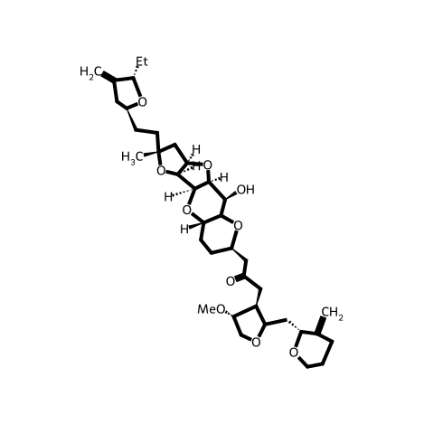 C=C1C[C@H](CC[C@]2(C)C[C@H]3O[C@@H]4[C@@H](O[C@H]5CC[C@H](CC(=O)C[C@H]6C(C[C@H]7OCCCC7=C)OC[C@@H]6OC)OC5[C@@H]4O)[C@H]3O2)O[C@H]1CC